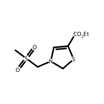 CCOC(=O)C1=CN(CS(C)(=O)=O)CS1